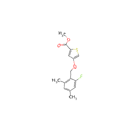 COC(=O)c1cc(OCc2c(C)cc(C)cc2F)cs1